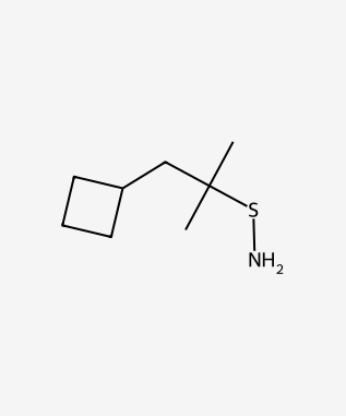 CC(C)(CC1CCC1)SN